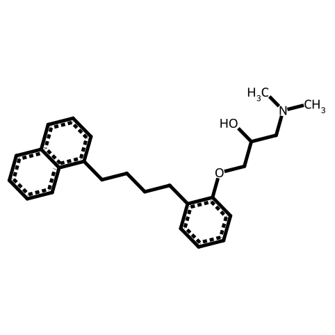 CN(C)CC(O)COc1ccccc1CCCCc1cccc2ccccc12